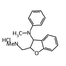 CNCC1Oc2ccccc2C1N(C)c1ccccc1.Cl